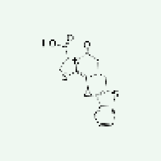 O=C(O)C1CSc2c(C3CC3)c(Cc3cc4ccccc4s3)cc(=O)n21